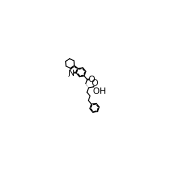 Cn1c2c(c3ccc(C(=O)C[C@@H](CCCc4ccccc4)C(=O)O)cc31)CCCC2